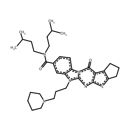 CC(C)CCN(CCC(C)C)C(=O)c1ccc2c(c1)n(CCCN1CCCCC1)c1nc3sc4c(c3c(=O)n21)CCC4